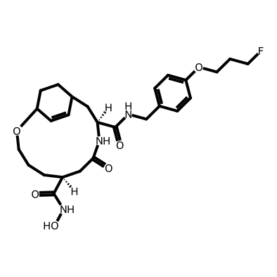 O=C1C[C@@H](C(=O)NO)CCCOC2C=CC(CC2)C[C@@H](C(=O)NCc2ccc(OCCCF)cc2)N1